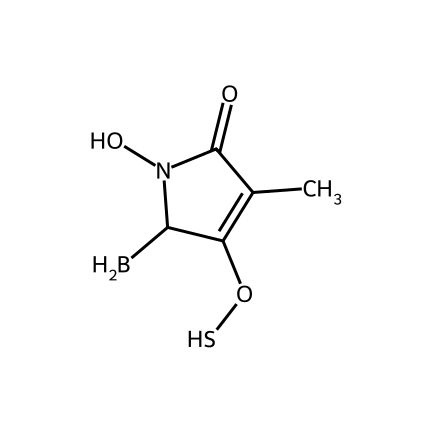 BC1C(OS)=C(C)C(=O)N1O